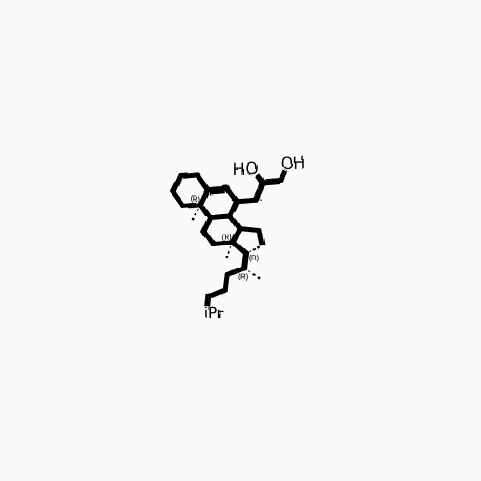 CC(C)CCC[C@@H](C)[C@H]1CCC2C3C([CH]C(O)CO)C=C4CCCC[C@]4(C)C3CC[C@@]21C